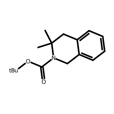 CC(C)(C)OC(=O)N1Cc2ccccc2CC1(C)C